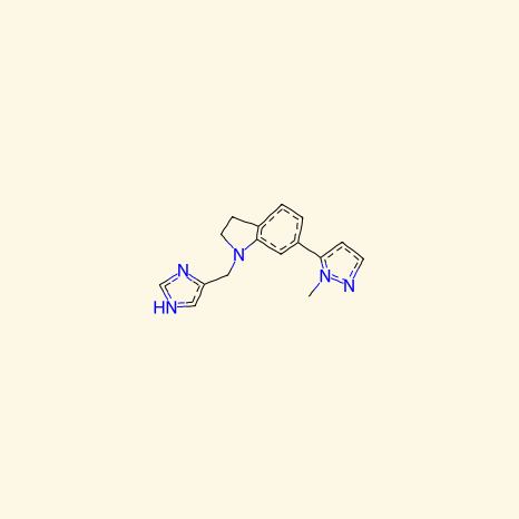 Cn1nccc1-c1ccc2c(c1)N(Cc1c[nH]cn1)CC2